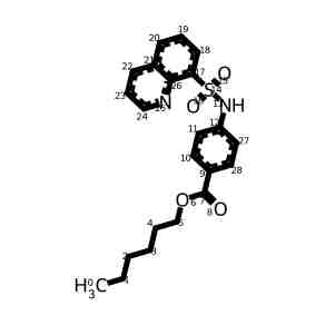 CCCCCCOC(=O)c1ccc(NS(=O)(=O)c2cccc3cccnc23)cc1